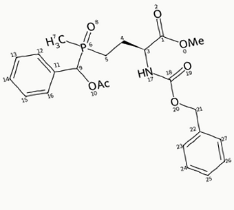 COC(=O)[C@H](CCP(C)(=O)C(OC(C)=O)c1ccccc1)NC(=O)OCc1ccccc1